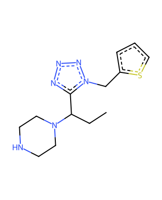 CCC(c1nnnn1Cc1cccs1)N1CCNCC1